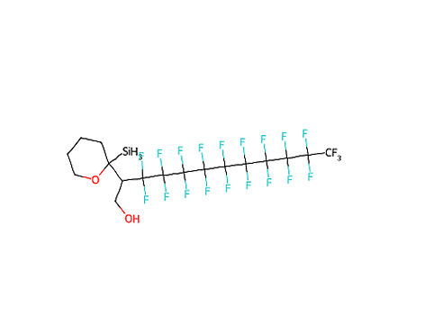 OCC(C1([SiH3])CCCCO1)C(F)(F)C(F)(F)C(F)(F)C(F)(F)C(F)(F)C(F)(F)C(F)(F)C(F)(F)C(F)(F)C(F)(F)F